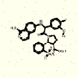 CCOc1cc(C(Nc2ccc3c(N)nccc3c2)C(=O)N2CC[C@@H](C(=O)OC)[C@H]2c2ccccc2S(=O)(=O)C(C)C)ccc1F